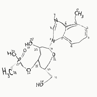 Cc1cccc2c1ncn2[C@@H]1O[C@H](CO)C(O[P@](C)(=O)O)C1O